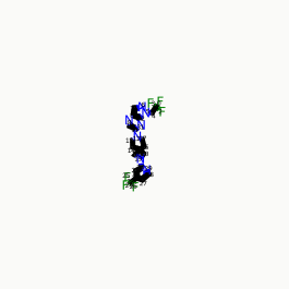 FC(F)(F)Cn1ncc2ncc(N3CCC4(CC3)CN(c3cc(C(F)(F)F)ccn3)C4)nc21